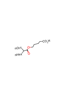 CCCCCCCCC(CCCCCC)C(=O)OCCCCC(=O)O